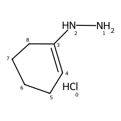 Cl.NNC1=CCCCC1